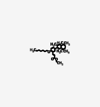 CCCCCCCOc1ccc(-c2cc3c(cc2C)C(C)(C)CCC3(C)C)cc1C=CC(=O)OCC